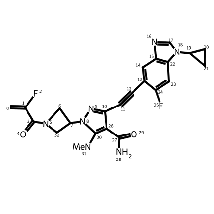 C=C(F)C(=O)N1CC(n2nc(C#Cc3cc4ncn(C5CC5)c4cc3F)c(C(N)=O)c2NC)C1